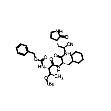 C[C@@H](OC(C)(C)C)[C@H](NC(=O)OCc1ccccc1)C(=O)N[C@@H](CC1CCCCC1)C(=O)N[C@H](C#N)C[C@@H]1CCNC1=O